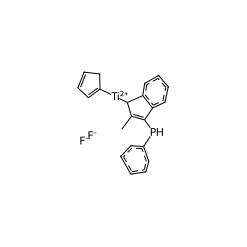 CC1=C(Pc2ccccc2)c2ccccc2[CH]1[Ti+2][C]1=CC=CC1.[F-].[F-]